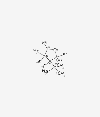 CC(C)(C)C1(F)C(F)(F)OC(F)C1(F)F